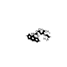 C=C/C(CC(C)OC(=O)Nc1c2c(cc3c1CCC3)CCC2)=N\C=C/C